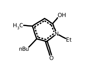 CCCCc1c(C)cc(O)n(CC)c1=O